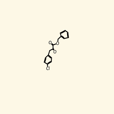 O=C(Cc1ccc(Cl)cc1)C(=O)OCc1ccccc1